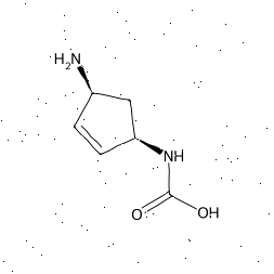 N[C@@H]1C=C[C@H](NC(=O)O)C1